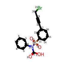 O=C(O)N(c1ccccc1)S(=O)(=O)c1cccc(C#CCBr)c1